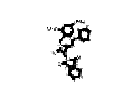 COc1ccc(CN2C(=O)C(N3C(=O)c4ccccc4C3=O)C2CCc2ccccc2)c(OC)c1